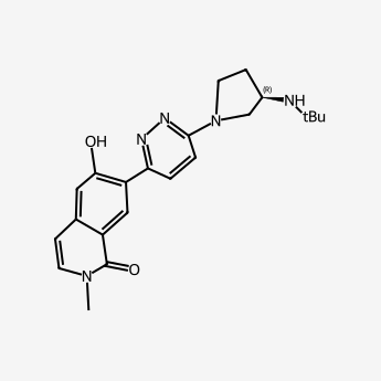 Cn1ccc2cc(O)c(-c3ccc(N4CC[C@@H](NC(C)(C)C)C4)nn3)cc2c1=O